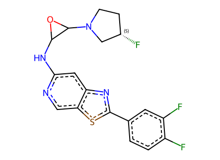 Fc1ccc(-c2nc3cc(NC4OC4N4CC[C@H](F)C4)ncc3s2)cc1F